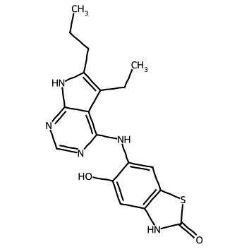 CCCc1[nH]c2ncnc(Nc3cc4sc(=O)[nH]c4cc3O)c2c1CC